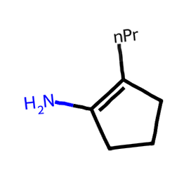 CCCC1=C(N)CCC1